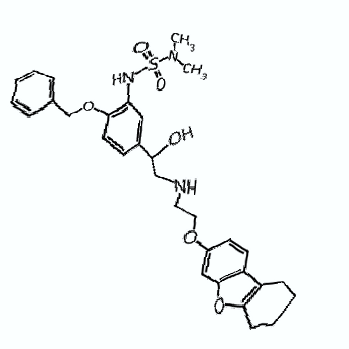 CN(C)S(=O)(=O)Nc1cc(C(O)CNCCOc2ccc3c4c(oc3c2)CCCC4)ccc1OCc1ccccc1